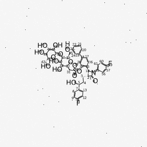 O=C1[C@H](CC[C@H](O)c2ccc(F)cc2)[C@@H](c2ccc(-c3ccccc3)cc2OS(=O)(=O)C[C@@H]2O[C@H](CO)C(O[C@@H]3O[C@H](CO)[C@@H](O)[C@H](O)[C@H]3O)[C@H](O)[C@H]2O)N1c1ccc(F)cc1